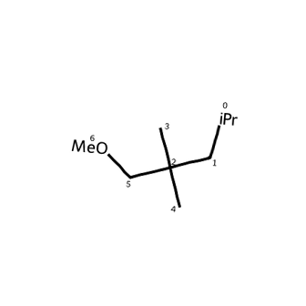 [CH2]C(C)CC(C)(C)COC